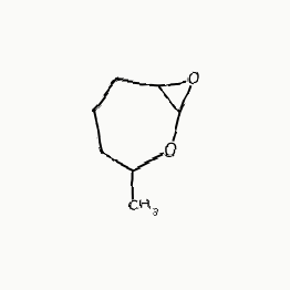 CC1CCCC2OC2O1